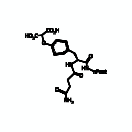 CCCCCNC(=O)[C@H](Cc1ccc(OC(C(=O)O)C(=O)O)cc1)NC(=O)CCC(N)=O